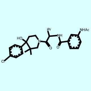 CC(=O)Nc1cccc(C(=O)NC(C(=O)N2CCC(O)(c3ccc(Cl)cc3)C(C)(C)C2)C(C)C)c1